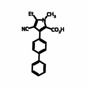 CCc1c(C#N)c(-c2ccc(-c3ccccc3)cc2)c(C(=O)O)n1C